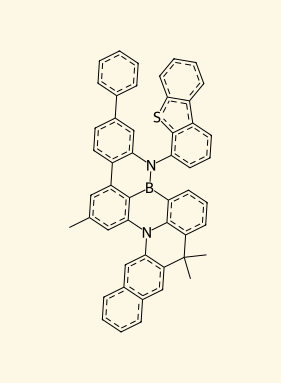 Cc1cc2c3c(c1)N1c4cc5ccccc5cc4C(C)(C)c4cccc(c41)B3N(c1cccc3c1sc1ccccc13)c1cc(-c3ccccc3)ccc1-2